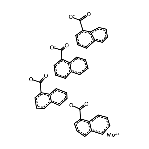 O=C([O-])c1cccc2ccccc12.O=C([O-])c1cccc2ccccc12.O=C([O-])c1cccc2ccccc12.O=C([O-])c1cccc2ccccc12.[Mo+4]